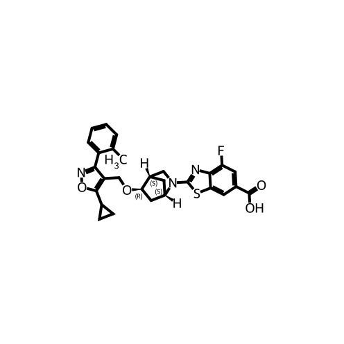 Cc1ccccc1-c1noc(C2CC2)c1CO[C@@H]1C[C@@H]2C[C@H]1CN2c1nc2c(F)cc(C(=O)O)cc2s1